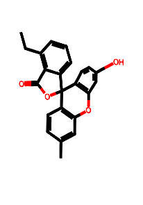 CCc1cccc2c1C(=O)OC21c2ccc(C)cc2Oc2cc(O)ccc21